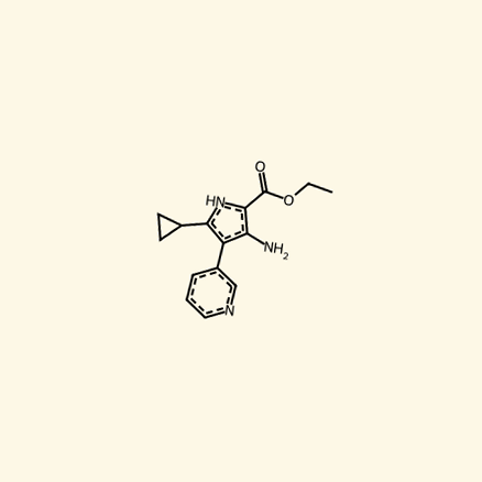 CCOC(=O)c1[nH]c(C2CC2)c(-c2cccnc2)c1N